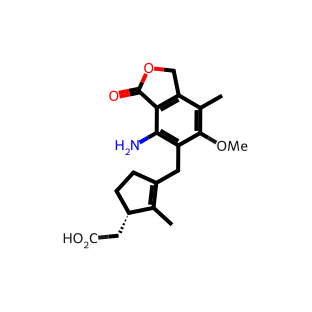 COc1c(C)c2c(c(N)c1CC1=C(C)[C@H](CC(=O)O)CC1)C(=O)OC2